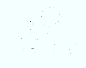 C[C@H]1OC(=O)C2=C1NC1=C(C(=O)COC1)[C@@H]2c1ccc(F)c(I)c1